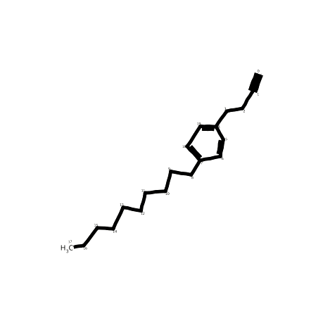 [C]#CCCc1ccc(CCCCCCCCCC)cc1